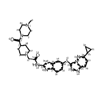 CN1CCN(C(=O)C2CCN(CC(=O)Nc3nc4ccc(Sc5nnc6ccc(C7CC7)nn56)cc4s3)CC2)CC1